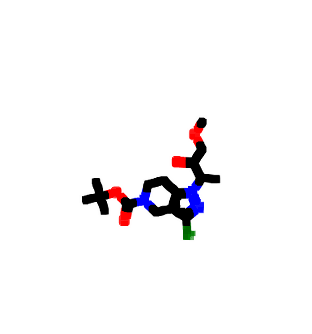 COCC(=O)C(C)n1nc(Br)c2c1CCN(C(=O)OC(C)(C)C)C2